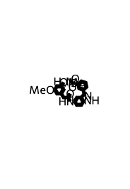 COc1cc(CC(=O)Nc2ccc3[nH]nc(-c4cccc(S(N)(=O)=O)c4)c3c2)cc(OC)c1